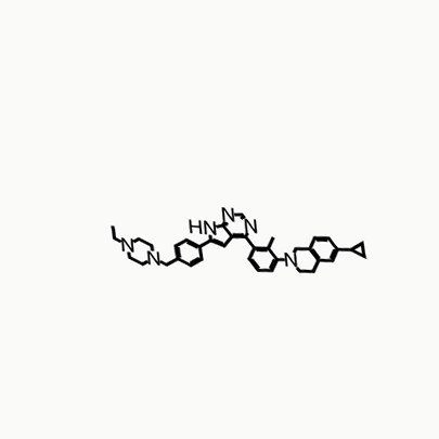 CCN1CCN(Cc2ccc(-c3cc4c(-c5cccc(N6CCc7cc(C8CC8)ccc7C6)c5C)ncnc4[nH]3)cc2)CC1